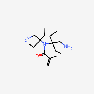 C=C(C)C(=O)N(C(CC)(CC)CN)C(CC)(CC)CN